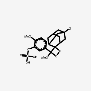 COc1ccc(C2(OC)OOC23C2CC4CC3CC(Cl)(C4)C2)cc1OP(=O)(O)O